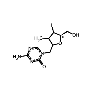 CC1C(Cn2cnc(N)nc2=O)O[C@H](CO)C1I